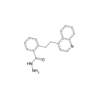 NNC(=O)c1ccccc1CCc1ccnc2ccccc12